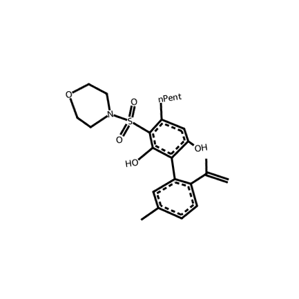 C=C(C)c1ccc(C)cc1-c1c(O)cc(CCCCC)c(S(=O)(=O)N2CCOCC2)c1O